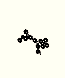 c1ccc(-n2ccc3c2ccc2c4cc(-c5ccc(N(c6ccc(-c7cccnc7)cc6)c6ccc7c(c6)C(c6ccccc6)(c6ccccc6)c6ccccc6-7)cc5)ccc4n(-c4ccccc4)c23)cc1